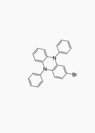 Brc1ccc2c(c1)N(c1ccccc1)c1ccccc1N2c1ccccc1